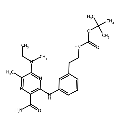 CCN(C)c1nc(Nc2cccc(CCNC(=O)OC(C)(C)C)c2)c(C(N)=O)nc1C